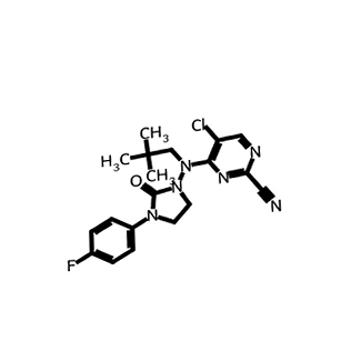 CC(C)(C)CN(c1nc(C#N)ncc1Cl)N1CCN(c2ccc(F)cc2)C1=O